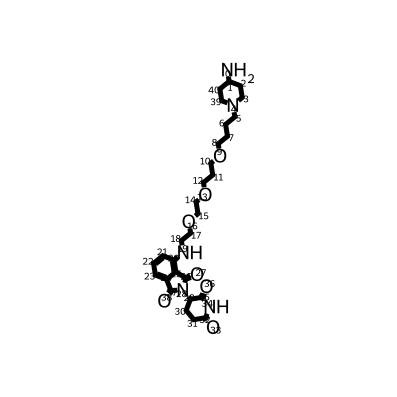 NC1CCN(CCCCOCCCOCCOCCNc2cccc3c2C(=O)N(C2CCC(=O)NC2=O)C3=O)CC1